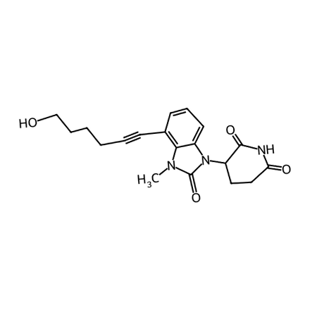 Cn1c(=O)n(C2CCC(=O)NC2=O)c2cccc(C#CCCCCO)c21